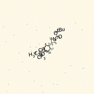 CC(C)(C)OC(=O)N1CC(c2ccc(OC(C)(C)C(F)(F)F)cc2)C1